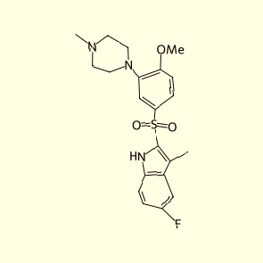 COc1ccc(S(=O)(=O)c2[nH]c3ccc(F)cc3c2C)cc1N1CCN(C)CC1